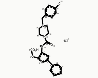 Cl.O=C(O)Oc1sc(-c2ccccc2)cc1NC(=O)N1CCN(Cc2ccc(Cl)cc2)CC1